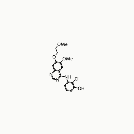 COCCOc1cc2ncnc(Nc3cccc(O)c3Cl)c2cc1OC